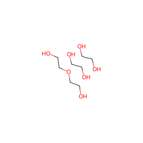 OCCO.OCCO.OCCOCCO